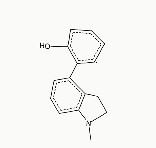 CN1CCc2c(-c3[c]cccc3O)cccc21